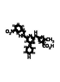 Cc1nc(Nc2nc(NCc3cccc([N+](=O)[O-])c3)cc(N3CCNCC3)n2)sc1C(=O)O